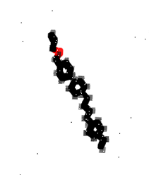 C=CCOCc1ccc([C@H]2CC[C@H](CCCCc3ccc(C=C)cc3)CC2)cc1